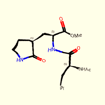 COC(=O)[C@H](C[C@@H]1CCNC1=O)NC(=O)[C@H](CC(C)C)NC(C)=O